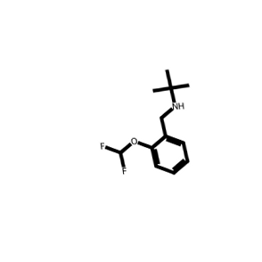 CC(C)(C)NCc1ccccc1OC(F)F